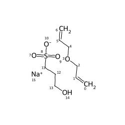 C=CCOCC=C.O=S(=O)([O-])CCCO.[Na+]